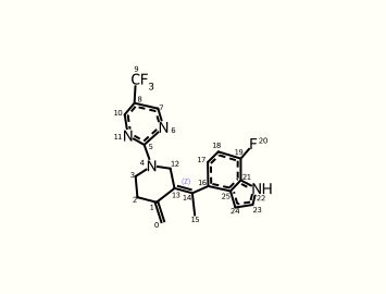 C=C1CCN(c2ncc(C(F)(F)F)cn2)C/C1=C(/C)c1ccc(F)c2[nH]ccc12